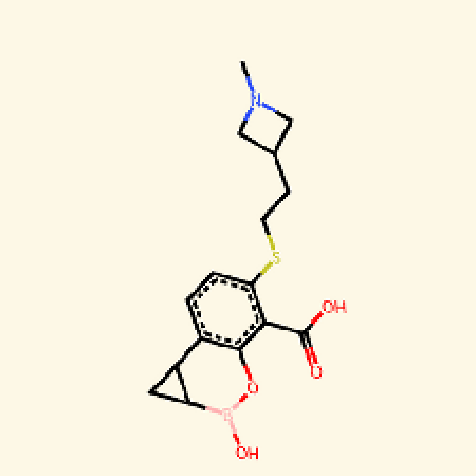 CN1CC(CCSc2ccc3c(c2C(=O)O)OB(O)C2CC32)C1